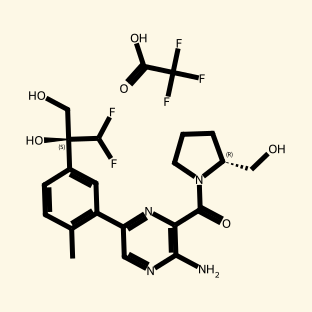 Cc1ccc([C@](O)(CO)C(F)F)cc1-c1cnc(N)c(C(=O)N2CCC[C@@H]2CO)n1.O=C(O)C(F)(F)F